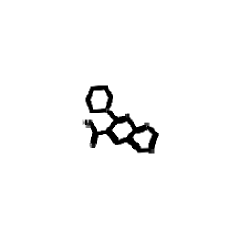 NC(=O)c1cc2cncnc2nc1N1CCCCC1